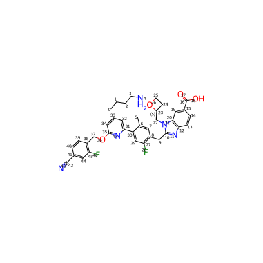 CCCCN.Cc1cc(Cc2nc3ccc(C(=O)O)cc3n2C[C@@H]2CCO2)c(F)cc1-c1cccc(OCc2ccc(C#N)cc2F)n1